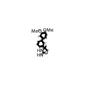 COc1ccc(-c2cccc(C3(C)COC(=N)N3)c2)cc1OC